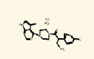 Cc1c[nH]c2ncnc(N3CCN(C(=O)C(CN)c4ccc(Cl)cc4)CC3)c12.Cl.Cl